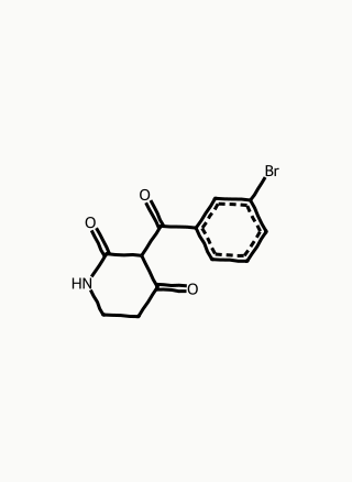 O=C1CCNC(=O)C1C(=O)c1cccc(Br)c1